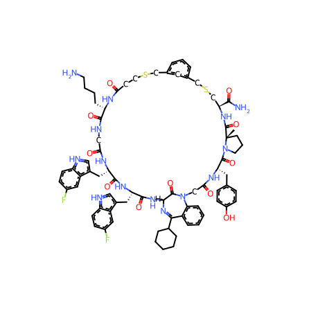 C[C@@]12CCCN1C(=O)[C@H](Cc1ccc(O)cc1)NC(=O)CN1C(=O)[C@H](N=C(C3CCCCC3)c3ccccc31)NC(=O)[C@H](Cc1c[nH]c3ccc(F)cc13)NC(=O)[C@H](Cc1c[nH]c3ccc(F)cc13)NC(=O)CNC(=O)[C@H](CCCCN)NC(=O)CCSCc1cccc(c1)CSC[C@@H](C(N)=O)NC2=O